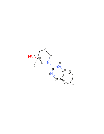 C[C@]1(O)CCCN(c2ncc3ccccc3n2)C1